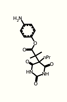 CCCC1(C(C)(C)C(=O)Oc2ccc(N)cc2)C(=O)NC(=O)NC1=O